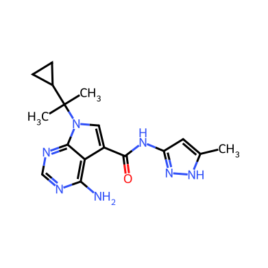 Cc1cc(NC(=O)c2cn(C(C)(C)C3CC3)c3ncnc(N)c23)n[nH]1